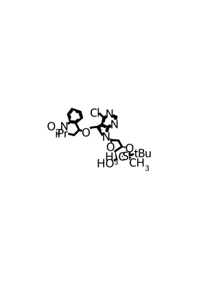 CC(C)CC(OCc1cn([C@H]2C[C@@H](O[Si](C)(C)C(C)(C)C)[C@@H](CO)O2)c2ncnc(Cl)c12)c1ccccc1[N+](=O)[O-]